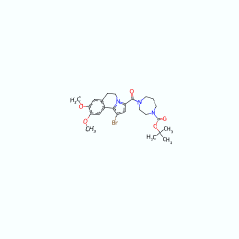 COc1cc2c(cc1OC)-c1c(Br)cc(C(=O)N3CCCN(C(=O)OC(C)(C)C)CC3)n1CC2